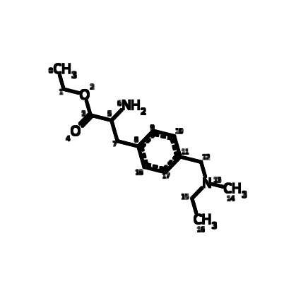 CCOC(=O)C(N)Cc1ccc(CN(C)CC)cc1